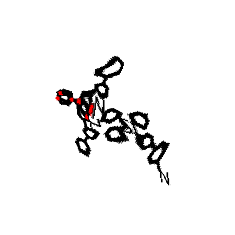 N#Cc1ccc(-c2ccc([Si](c3ccccc3)(c3ccccc3)c3ccc(-n4c5ccc(-c6ccccc6)cc5c5cc(-c6ccccc6)ccc54)c(-n4c5ccc(-c6ccccc6)cc5c5cc(-c6ccccc6)ccc54)c3)cc2)cc1